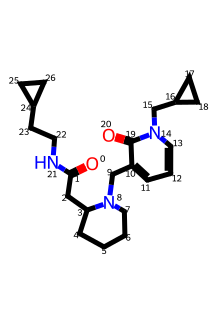 O=C(CC1CCCCN1Cc1cccn(CC2CC2)c1=O)NCCC1CC1